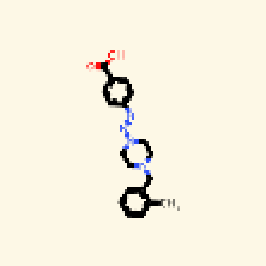 Cc1ccccc1CN1CCN(N=Nc2ccc(C(=O)O)cc2)CC1